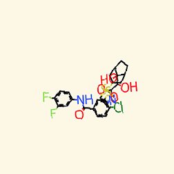 O=C(Nc1ccc(F)c(F)c1)c1ccc(Cl)c(S(=O)(=O)[C@H]2CC3CCC(C2)[C@]3(O)[C@@H](O)c2nccs2)c1